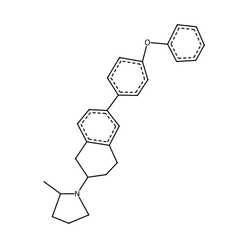 CC1CCCN1C1CCc2cc(-c3ccc(Oc4ccccc4)cc3)ccc2C1